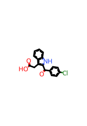 O=C(O)Cc1c(C(=O)c2ccc(Cl)cc2)[nH]c2ccccc12